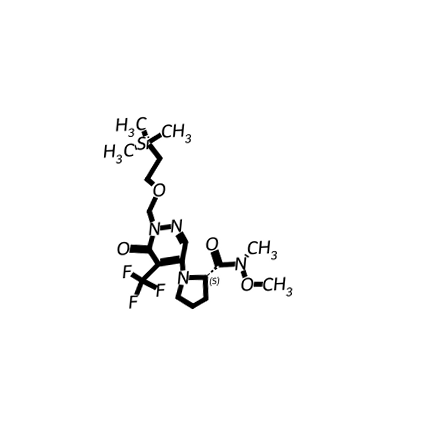 CON(C)C(=O)[C@@H]1CCCN1c1cnn(COCC[Si](C)(C)C)c(=O)c1C(F)(F)F